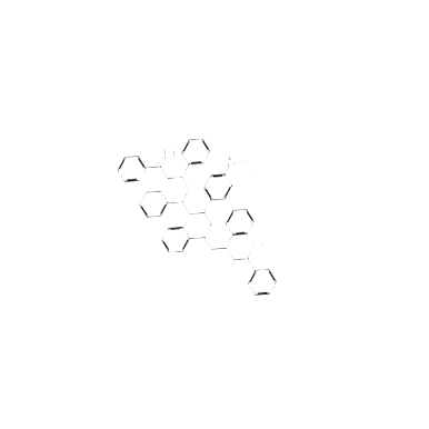 CCC(CC(CC(CC(CC(CC(CC(CC)c1ccccc1)c1ccccc1)c1ccccc1)c1ccc(N)cc1)C1=CC=CCC1)c1ccccc1)c1ccccc1